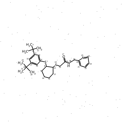 CC(C)(C)c1cc(SC2CCCCC2SCC(=O)NCc2ccccn2)cc(C(C)(C)C)c1